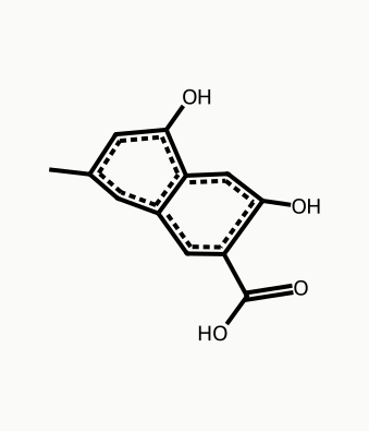 Cc1cc(O)c2cc(O)c(C(=O)O)cc2c1